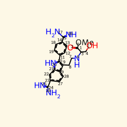 COC(=O)C(CO)NCCc1c(-c2ccc(C(=N)N)cc2)[nH]c2cc(C(=N)N)ccc12